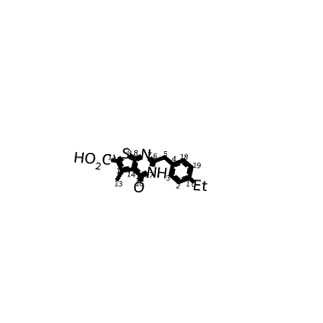 CCc1ccc(Cc2nc3sc(C(=O)O)c(C)c3c(=O)[nH]2)cc1